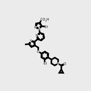 CCc1cc(OCc2cc(C)sc2-c2cccc(-n3ncc(C(=O)O)c3CC)n2)ccc1C1CCN(C(=O)C2CC2)CC1